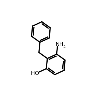 Nc1cccc(O)c1Cc1ccccc1